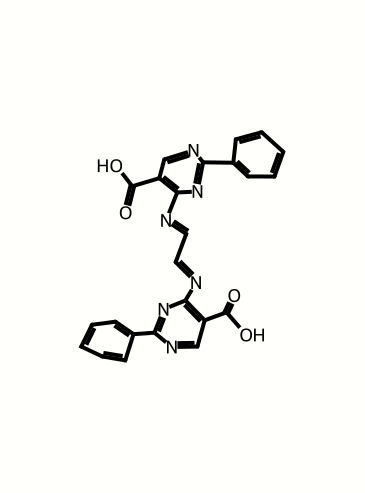 O=C(O)c1cnc(-c2ccccc2)nc1N=CC=Nc1nc(-c2ccccc2)ncc1C(=O)O